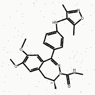 CNC(=O)N1N=C(c2ccc(Nc3c(C)noc3C)cc2)c2cc(OC)c(OC)cc2C[C@@H]1C